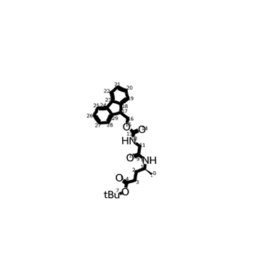 [CH2][C@@H](CCC(=O)OC(C)(C)C)NC(=O)CNC(=O)OCC1c2ccccc2-c2ccccc21